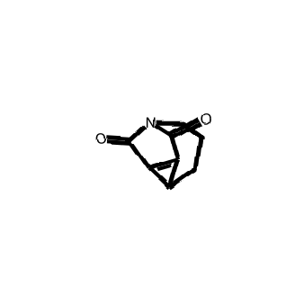 O=C1C2=C3C(=O)N1CCCC23